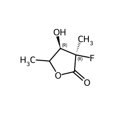 CC1OC(=O)[C@](C)(F)[C@@H]1O